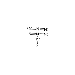 [K+].[K+].[N-]=[N+]=[N-].[N-]=[N+]=[N-]